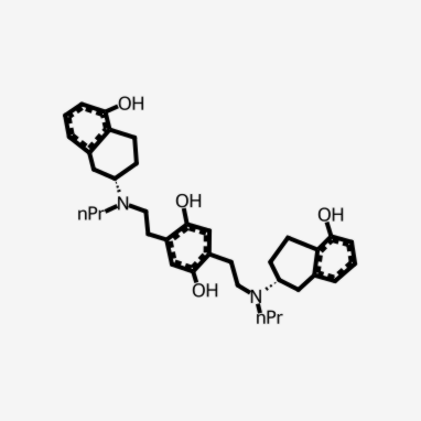 CCCN(CCc1cc(O)c(CCN(CCC)[C@H]2CCc3c(O)cccc3C2)cc1O)[C@@H]1CCc2c(O)cccc2C1